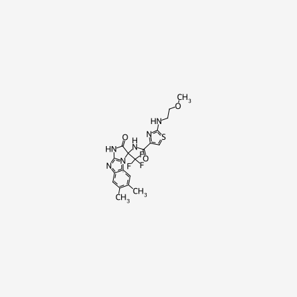 COCCNc1nc(C(=O)NC2(C(F)(F)F)C(=O)Nc3nc4cc(C)c(C)cc4n32)cs1